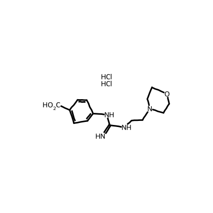 Cl.Cl.N=C(NCCN1CCOCC1)Nc1ccc(C(=O)O)cc1